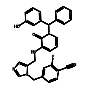 N#Cc1ccc(Cn2cncc2CNc2cccn(C(c3ccccc3)c3cccc(O)c3)c2=O)cc1F